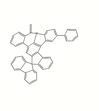 O=c1c2ccccc2c2cc3c(c4c5cc(-c6ccccc6)ccc5n1c24)-c1ccccc1C31c2ccccc2-c2ccccc21